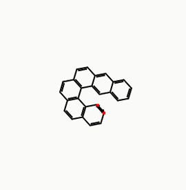 c1ccc2cc3c(ccc4ccc5ccc6ccc7ccccc7c6c5c43)cc2c1